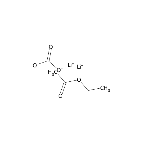 CCOC(C)=O.O=C([O-])[O-].[Li+].[Li+]